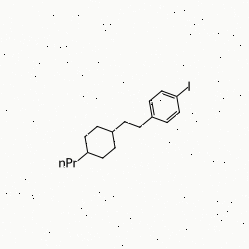 CCCC1CCC(CCc2ccc(I)cc2)CC1